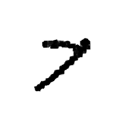 CCCCCCCCCCCCCCCCCCOCC(COCCOCC[n+]1cc[nH]c1)Oc1ncccn1.[Cl-]